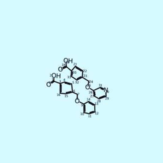 O=C(O)c1ccc(COc2ccccc2)cc1.O=C(O)c1ccc(COc2cccnc2)cc1